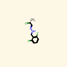 C[C@@H](Cl)/C=N/NCc1c(F)cccc1F